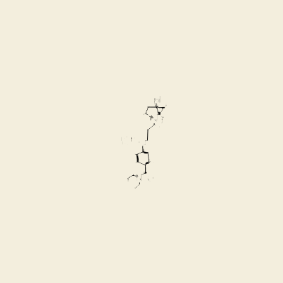 CCN(CC)C(=O)c1ccc(OCCCN2CC[C@@H]3C[C@@H]32)cc1.Cl